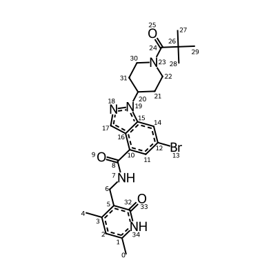 Cc1cc(C)c(CNC(=O)c2cc(Br)cc3c2cnn3C2CCN(C(=O)C(C)(C)C)CC2)c(=O)[nH]1